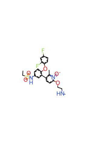 CCS(=O)(=O)Nc1ccc(Oc2ccc(F)cc2F)c(-c2ccc(OCCNC)[n+]([O-])c2C)c1